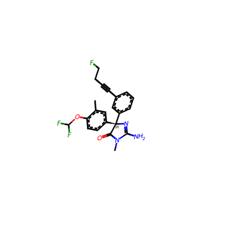 Cc1cc([C@@]2(c3cccc(C#CCCF)c3)N=C(N)N(C)C2=O)ccc1OC(F)F